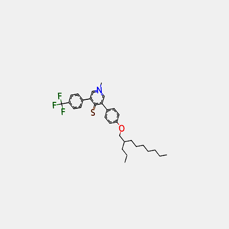 CCCCCCCC(CCC)COc1ccc(-c2cn(C)cc(-c3ccc(C(F)(F)F)cc3)c2=S)cc1